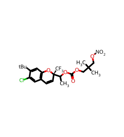 CC(OC(=O)OCC(C)(C)CO[N+](=O)[O-])[C@]1(C(F)(F)F)C=Cc2cc(Cl)c(C(C)(C)C)cc2O1